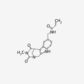 C=CC(=O)NCc1ccc2[nH]c3c(c2c1)C1CN(C3)C(=O)N(C)C1=O